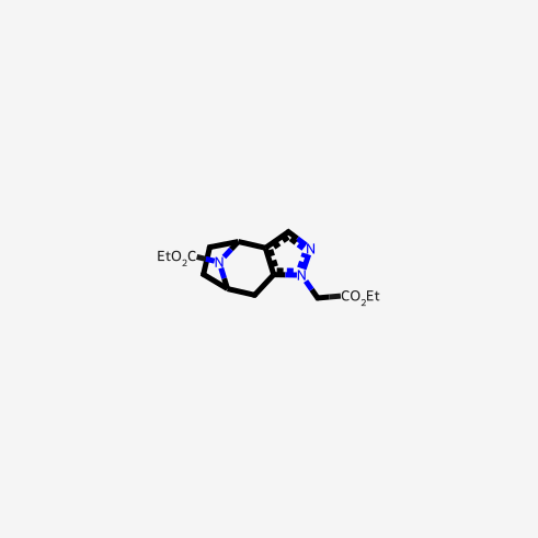 CCOC(=O)Cn1ncc2c1CC1CCC2N1C(=O)OCC